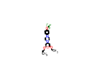 C=CCOCCC(CC(=O)OCC)N1CCN(c2ccc(OC(F)(F)F)cc2)CC1